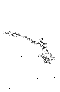 CCNC(=O)Cc1ccc(SSCOCCCCOC(=O)NCC#CC2=CC([C@H]3C[C@@H](OCSSCC)C(COP(=O)(O)OP(=O)(O)OP(=O)(O)O)O3)C(=O)NC2=O)cc1